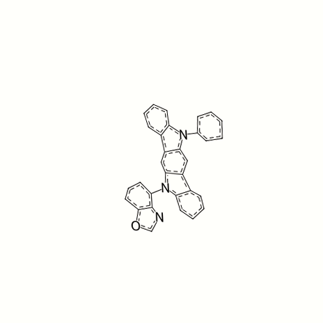 c1ccc(-n2c3ccccc3c3cc4c(cc32)c2ccccc2n4-c2cccc3ocnc23)cc1